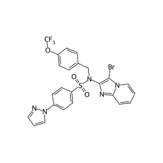 O=S(=O)(c1ccc(-n2cccn2)cc1)N(Cc1ccc(OC(F)(F)F)cc1)c1nc2ccccn2c1Br